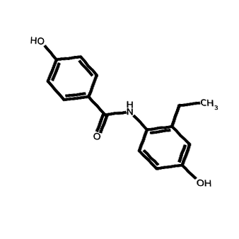 CCc1cc(O)ccc1NC(=O)c1ccc(O)cc1